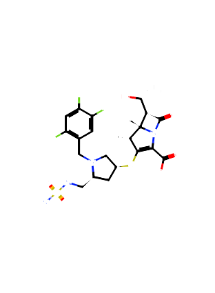 C[C@@H](O)[C@H]1C(=O)N2C(C(=O)O)=C(S[C@H]3C[C@@H](CNS(N)(=O)=O)N(Cc4cc(F)c(F)cc4F)C3)[C@H](C)[C@H]12